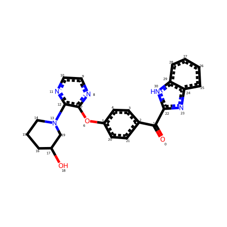 O=C(c1ccc(Oc2nccnc2N2CCCC(O)C2)cc1)c1nc2ccccc2[nH]1